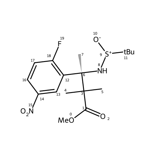 COC(=O)C(C)(C)[C@](C)(N[S+]([O-])C(C)(C)C)c1cc([N+](=O)[O-])ccc1F